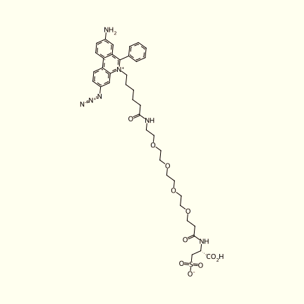 [N-]=[N+]=Nc1ccc2c3ccc(N)cc3c(-c3ccccc3)[n+](CCCCCC(=O)NCCOCCOCCOCCOCCC(=O)N[C@@H](CS(=O)(=O)[O-])C(=O)O)c2c1